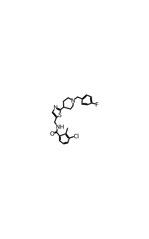 Cc1c(Cl)cccc1C(=O)NCc1cnc(C2CCN(Cc3ccc(F)cc3)CC2)s1